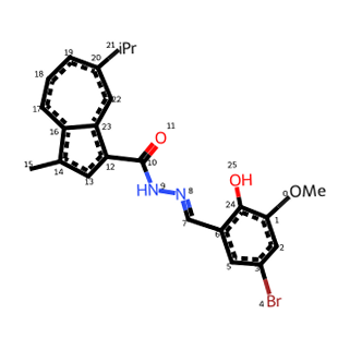 COc1cc(Br)cc(/C=N/NC(=O)c2cc(C)c3cccc(C(C)C)cc2-3)c1O